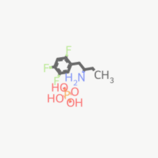 CCC(N)Cc1cc(F)c(F)cc1F.O=P(O)(O)O